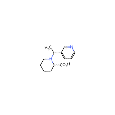 CC(c1cccnc1)N1CCCCC1C(=O)O